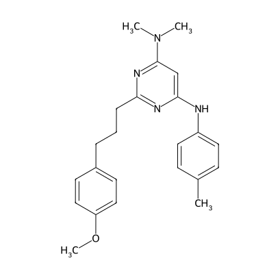 COc1ccc(CCCc2nc(Nc3ccc(C)cc3)cc(N(C)C)n2)cc1